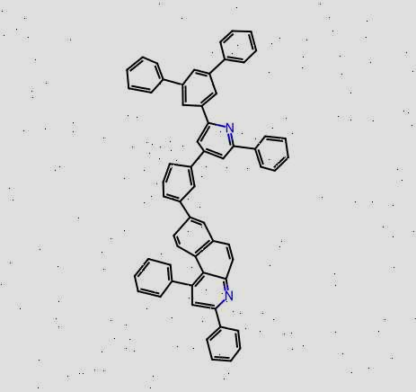 c1ccc(-c2cc(-c3ccccc3)cc(-c3cc(-c4cccc(-c5ccc6c(ccc7nc(-c8ccccc8)cc(-c8ccccc8)c76)c5)c4)cc(-c4ccccc4)n3)c2)cc1